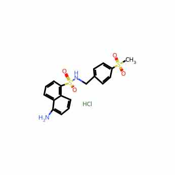 CS(=O)(=O)c1ccc(CNS(=O)(=O)c2cccc3c(N)cccc23)cc1.Cl